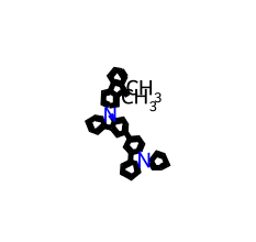 CC1(C)c2c#cccc2-c2ccc(-n3c4ccccc4c4cc(-c5ccc6c(c5)c5ccccc5n6-c5ccccc5)ccc43)cc21